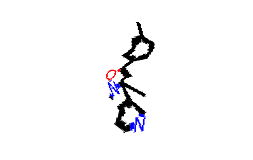 Cc1ccc(C2=CC(C)(c3cccnc3)N(C)O2)cc1